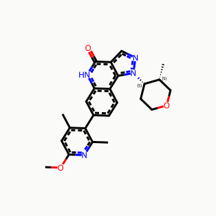 COc1cc(C)c(-c2ccc3c(c2)[nH]c(=O)c2cnn([C@H]4CCOC[C@H]4C)c23)c(C)n1